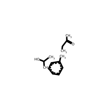 CC(C)O.CCC(C)=O.Cc1ccccc1